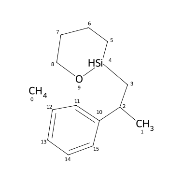 C.CC(C[SiH]1CCCCO1)c1ccccc1